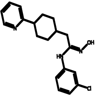 O/N=C(\CC1CCC(c2ccccn2)CC1)Nc1cccc(Cl)c1